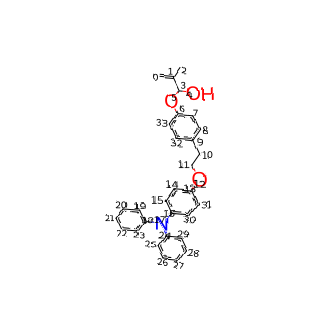 C=C(C)C(O)Oc1ccc(CCOc2ccc(N(c3ccccc3)c3ccccc3)cc2)cc1